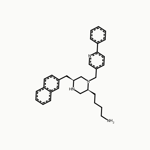 NCCCC[C@H]1CN[C@@H](Cc2ccc3ccccc3c2)CN1Cc1ccc(-c2ccccc2)nc1